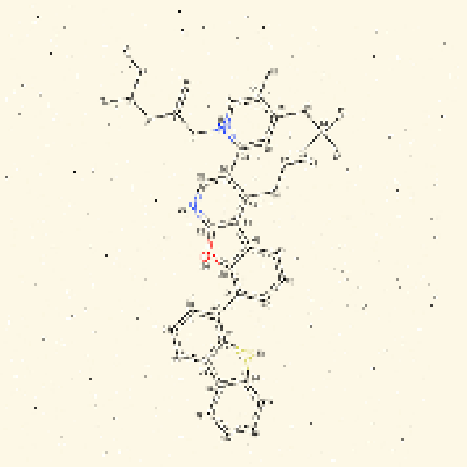 C=C(CC(C)CC)C[n+]1cc(C)c(CC(C)(C)C)cc1-c1cnc2oc3c(-c4cccc5c4sc4ccccc45)cccc3c2c1CCC